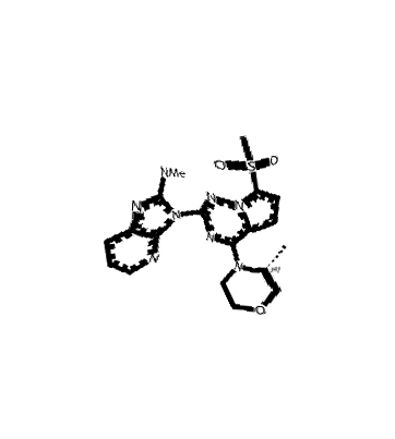 CNc1nc2cccnc2n1-c1nc(N2CCOC[C@H]2C)c2ccc(S(C)(=O)=O)n2n1